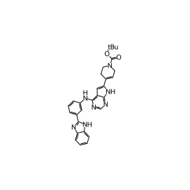 CC(C)(C)OC(=O)N1CC=C(c2cc3c(Nc4cccc(-c5nc6ccccc6[nH]5)c4)ncnc3[nH]2)CC1